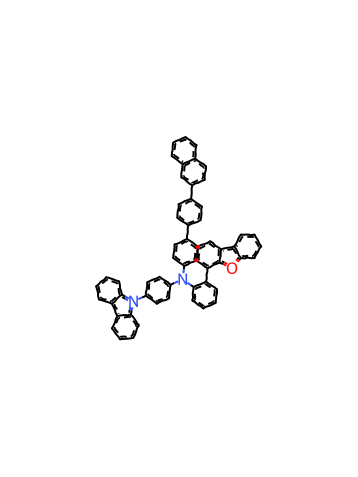 c1ccc(N(c2ccc(-c3ccc(-c4ccc5ccccc5c4)cc3)cc2)c2ccc(-n3c4ccccc4c4ccccc43)cc2)c(-c2cccc3c2oc2ccccc23)c1